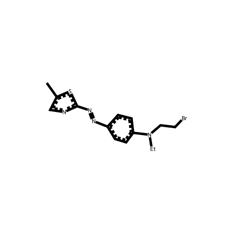 CCN(CCBr)c1ccc(N=Nc2ncc(C)s2)cc1